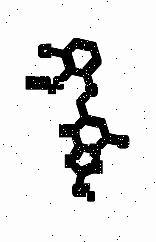 CCOC(=O)c1c(Cl)cccc1OCc1cc(=O)n2nc(C(F)(F)F)nc2[nH]1